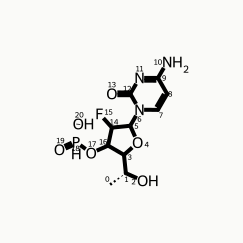 C[C@@H](O)C1OC(n2ccc(N)nc2=O)C(F)C1O[PH](=O)O